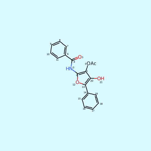 CC(=O)Oc1c(NC(=O)c2ccccc2)oc(-c2ccccc2)c1O